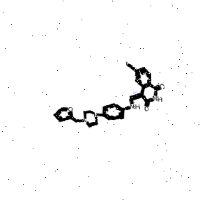 O=C1NC(=O)c2ccc(I)cc2/C1=C/Nc1ccc(N2CCN(Cc3ccco3)CC2)cc1